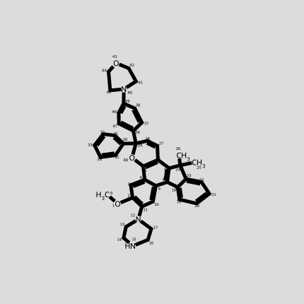 COc1cc2c3c(c4c(c2cc1N1CCNCC1)-c1ccccc1C4(C)C)C=CC(c1ccccc1)(c1ccc(N2CCOCC2)cc1)O3